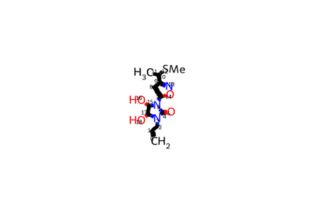 C=CCN1C(=O)N(c2cc(C(C)SC)no2)C(O)C1O